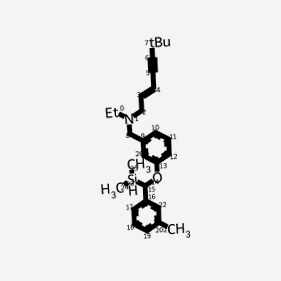 CCN(C/C=C/C#CC(C)(C)C)Cc1cccc(OC(c2cccc(C)c2)[SiH](C)C)c1